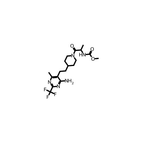 COC(=O)NC(C)C(=O)N1CCC(CCc2c(C)nc(C(F)(F)F)nc2N)CC1